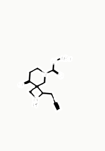 C#CCC1NCC12CN(C(=O)OC(C)(C)C)CCC2=O